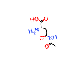 CC(=O)NC(=O)C[C@H](N)C(=O)O